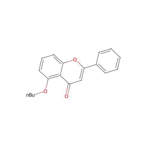 CCCCOc1cccc2oc(-c3ccccc3)cc(=O)c12